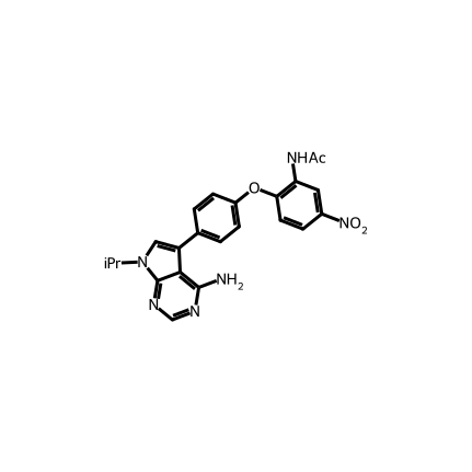 CC(=O)Nc1cc([N+](=O)[O-])ccc1Oc1ccc(-c2cn(C(C)C)c3ncnc(N)c23)cc1